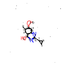 COc1cc2nc(C3CC3)nc(O)c2cc1C